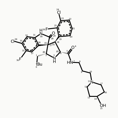 CC(C)(C)C[C@H]1N[C@@H](C(=O)NCCCN2CCC(O)CC2)[C@H](c2cccc(Cl)c2F)[C@@]12C(=O)Nc1cc(Cl)c(F)cc12